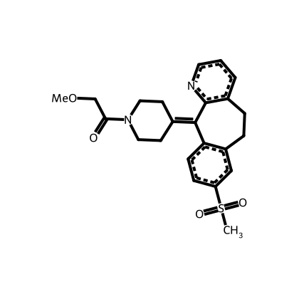 COCC(=O)N1CCC(=C2c3ccc(S(C)(=O)=O)cc3CCc3cccnc32)CC1